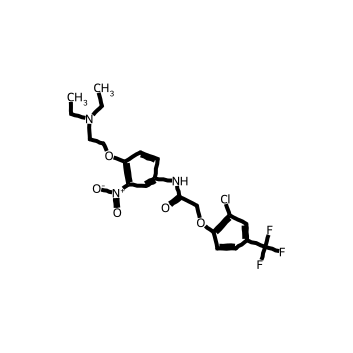 CCN(CC)CCOc1ccc(NC(=O)COc2ccc(C(F)(F)F)cc2Cl)cc1[N+](=O)[O-]